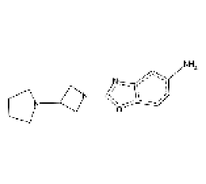 Nc1ccc2oc(N3CC(N4CCCC4)C3)nc2c1